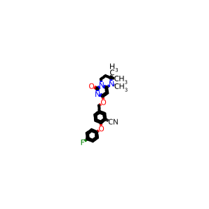 CN1c2cc(OCc3ccc(Oc4ccc(F)cc4)c(C#N)c3)nc(=O)n2CCC1(C)C